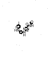 O=C(NC1COC1)c1cnc(N[C@H]2CC[C@H](Nc3ccc(I)cn3)C2)nn1